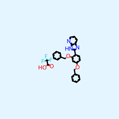 O=C(O)C(F)(F)F.c1ccc(COc2ccc(-c3nc4cccnc4[nH]3)c(OCc3ccccc3)c2)cc1